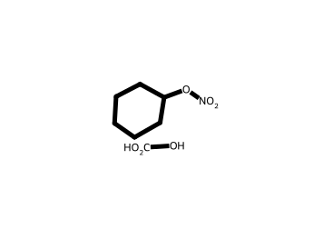 O=C(O)O.O=[N+]([O-])OC1CCCCC1